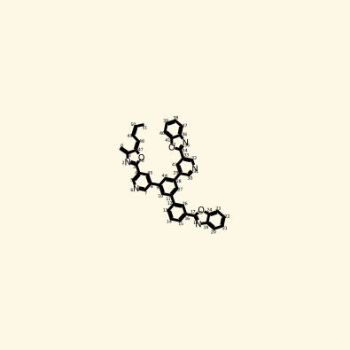 C=c1nc(-c2cncc(-c3cc(-c4cccc(-c5nc6ccccc6o5)c4)cc(-c4cncc(-c5nc6ccccc6o5)c4)c3)c2)o/c1=C/C=C\C